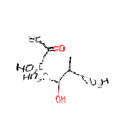 CC(C(=O)O)C(O)C(=O)O.CCC(=O)C(=O)O